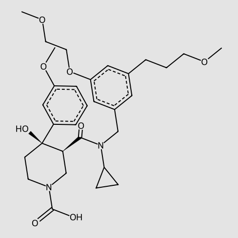 COCCCc1cc(CN(C(=O)[C@H]2CN(C(=O)O)CC[C@]2(O)c2cccc(OC)c2)C2CC2)cc(OCCOC)c1